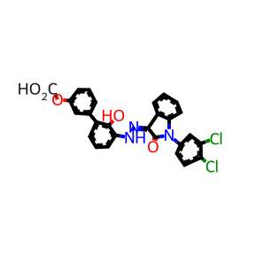 O=C(O)Oc1cccc(-c2cccc(NN=C3C(=O)N(c4ccc(Cl)c(Cl)c4)c4ccccc43)c2O)c1